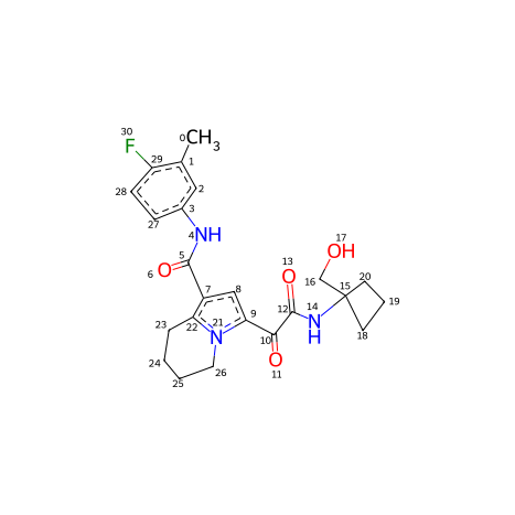 Cc1cc(NC(=O)c2cc(C(=O)C(=O)NC3(CO)CCC3)n3c2CCCC3)ccc1F